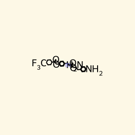 Nc1ccc(CCOC(=O)/C=C/c2ccc(OC(=O)C3CCC(C(F)(F)F)CC3)cc2)c(N)c1